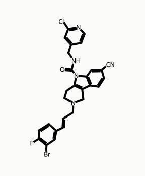 N#Cc1ccc2c3c(n(C(=O)NCc4ccnc(Cl)c4)c2c1)CCN(CC=Cc1ccc(F)c(Br)c1)C3